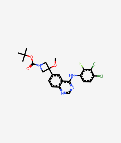 COC1(c2ccc3ncnc(Nc4ccc(Cl)c(Cl)c4F)c3c2)CN(C(=O)OC(C)(C)C)C1